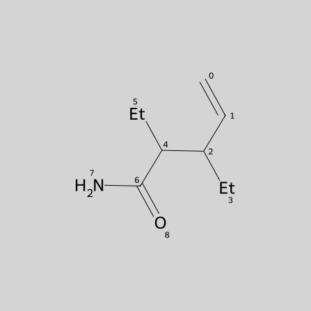 C=CC(CC)C(CC)C(N)=O